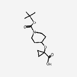 CC(C)(C)OC(=O)N1CCC(OC2(C(=O)O)CC2)CC1